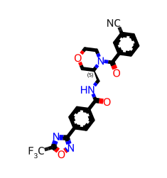 N#Cc1cccc(C(=O)N2CCOC[C@@H]2CNC(=O)c2ccc(-c3noc(C(F)(F)F)n3)cc2)c1